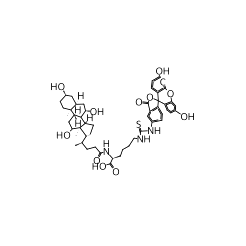 C[C@H](CCC(=O)N[C@@H](CCCCNC(=S)Nc1ccc2c(c1)C(=O)OC21c2ccc(O)cc2Oc2cc(O)ccc21)C(=O)O)[C@H]1CC[C@H]2[C@@H]3[C@H](O)C[C@@H]4C[C@H](O)CC[C@]4(C)[C@H]3C[C@H](O)[C@]12C